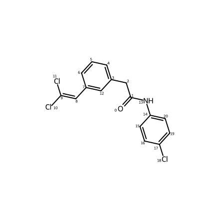 O=C(Cc1cccc(C=C(Cl)Cl)c1)Nc1ccc(Cl)cc1